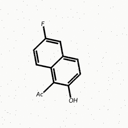 CC(=O)c1c(O)ccc2cc(F)ccc12